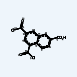 O=C(O)c1ccc2c(C(=O)Cl)cc(C(=O)Cl)cc2c1